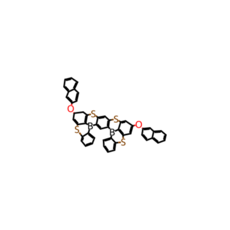 C1=C2Sc3ccccc3B3C2=C(CC1Oc1ccc2ccccc2c1)Sc1cc2c(cc13)B1c3ccccc3Sc3cc(Oc4ccc5ccccc5c4)cc(c31)S2